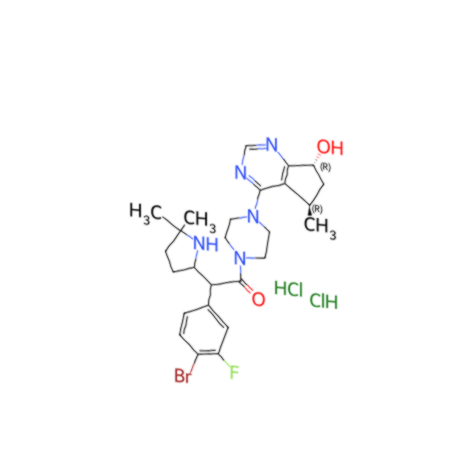 C[C@@H]1C[C@@H](O)c2ncnc(N3CCN(C(=O)C(c4ccc(Br)c(F)c4)C4CCC(C)(C)N4)CC3)c21.Cl.Cl